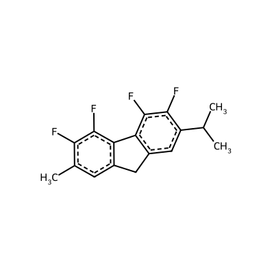 Cc1cc2c(c(F)c1F)-c1c(cc(C(C)C)c(F)c1F)C2